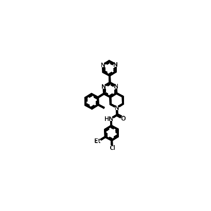 CCc1cc(NC(=O)N2CCc3nc(-c4cncnc4)nc(-c4ccccc4C)c3C2)ccc1Cl